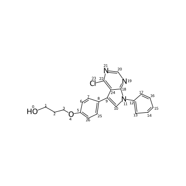 OCCCOc1ccc(-c2cn(-c3ccccc3)c3ncnc(Cl)c23)cc1